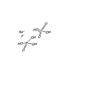 O=P(O)(O)O.[F-].[Na+].[O]=[Cr](=[O])([OH])[OH]